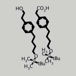 CC(C)(C)[Si](C)(C)OCCCCc1ccc(CC(=O)O)cc1.CC(C)(C)[Si](C)(C)OCCCCc1ccc(CCO)cc1